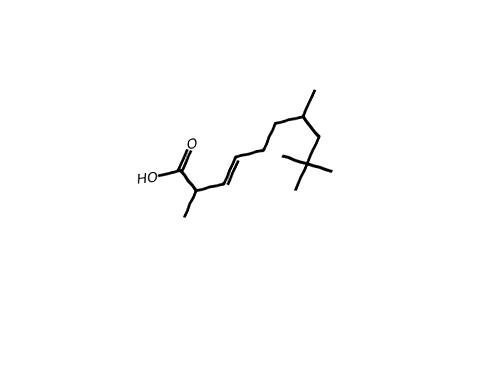 CC(CCC=CC(C)C(=O)O)CC(C)(C)C